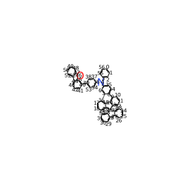 c1ccc(N(c2ccc(-c3cccc4c3-c3ccccc3C43c4ccccc4-c4ccccc43)cc2)c2ccc(-c3cccc4c3oc3ccccc34)cc2)cc1